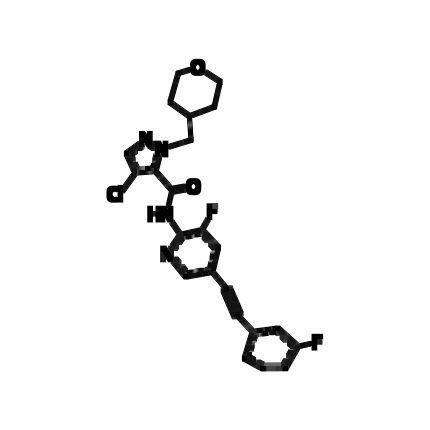 O=C(Nc1ncc(C#Cc2cccc(F)c2)cc1F)c1c(Cl)cnn1CC1CCOCC1